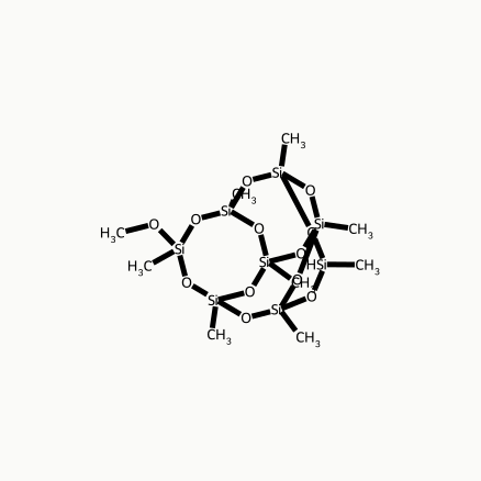 CO[Si]1(C)O[Si]2(C)O[Si]3(C)O[SiH](C)O[Si]4(C)O[Si](C)(O1)O[Si](C)(O2)O[Si](C)(O3)O4